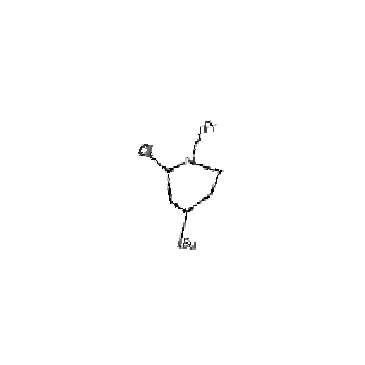 CCCN1CCC(C(C)(C)C)CC1Cl